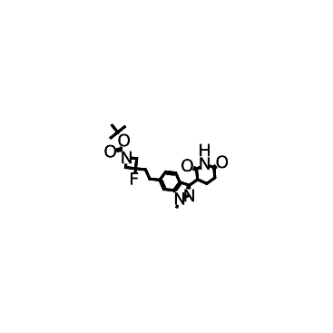 Cn1nc(C2CCC(=O)NC2=O)c2ccc(CCC3(F)CN(C(=O)OC(C)(C)C)C3)cc21